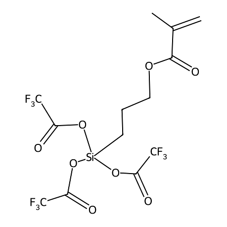 C=C(C)C(=O)OCCC[Si](OC(=O)C(F)(F)F)(OC(=O)C(F)(F)F)OC(=O)C(F)(F)F